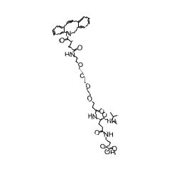 CC(C)C(C)NC(=O)C(CCC(=O)NCCS(=O)(=O)O)NC(=O)CCOCCOCCOCCOCCNC(=O)CCC(=O)N1Cc2ccccc2C#Cc2ccccc21